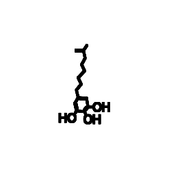 C=C(C)CCCCCCc1cc(O)c(O)c(O)c1